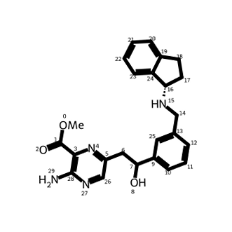 COC(=O)c1nc(CC(O)c2cccc(CN[C@H]3CCc4ccccc43)c2)cnc1N